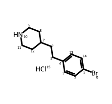 Brc1ccc(CCC2CCNCC2)cc1.Cl